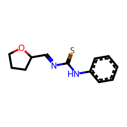 S=C(N=CC1CCCO1)Nc1ccccc1